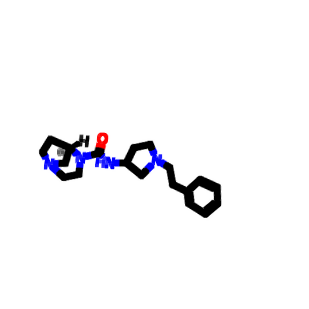 O=C(NC1CCN(CCc2ccccc2)C1)N1CCN2CC[C@H]1C2